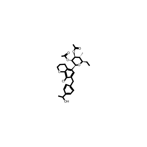 CC[C@H]1O[C@@H](c2cc(Cc3ccc(C(C)O)cc3)c(Cl)c3c2CCCO3)[C@H](OC(C)=O)[C@@H](OC(C)=O)[C@@H]1C